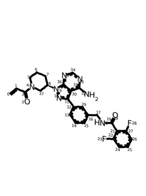 C=CC(=O)N1CCC[C@@H](n2nc(-c3cccc(CNC(=O)c4c(F)cccc4F)c3)c3c(N)ncnc32)C1